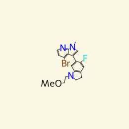 COCCN1CCc2cc(F)c(-c3cn(C)c4nccc(Br)c34)cc21